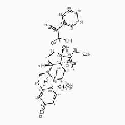 CC(O[C@@H]1C[C@H]2[C@@H]3CCC4=CC(=O)C=C[C@]4(C)C3(F)[C@@H](O)C[C@]2(C)[C@@]1(O)C(=O)CCl)C(=O)c1ccccc1